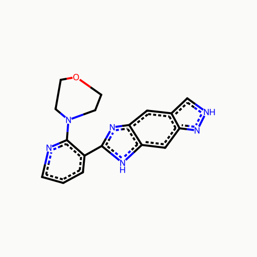 c1cnc(N2CCOCC2)c(-c2nc3cc4c[nH]nc4cc3[nH]2)c1